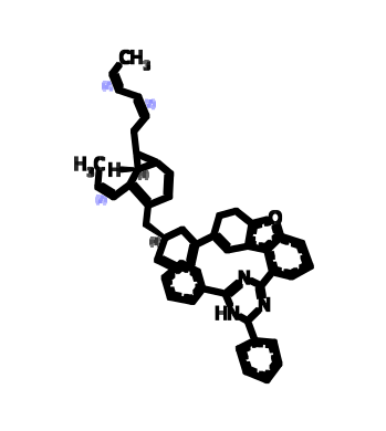 C/C=C\C=C/CC1C2C=CC(C[C@@H]3C=CC=C(C4=Cc5c(oc6cccc(C7=NC(c8ccccc8)NC(c8ccccc8)=N7)c56)CC4)C3)=C(/C=C\C)[C@@H]21